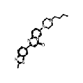 CCCCN1CCN(c2ccc3nc(-c4ccc5nc(C)sc5c4)cc(=O)n3c2)CC1